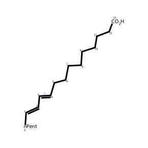 CCCCCC=C/C=C/CCCCCCCCC(=O)O